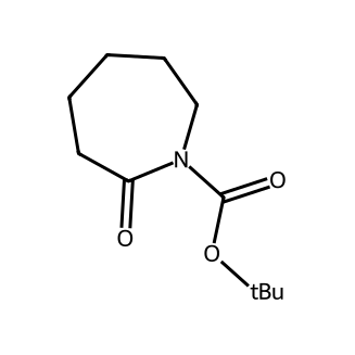 CC(C)(C)OC(=O)N1CCCCCC1=O